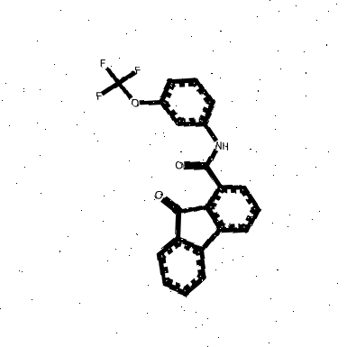 O=C(Nc1cccc(OC(F)(F)F)c1)c1cccc2c1C(=O)c1ccccc1-2